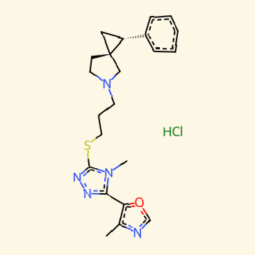 Cc1ncoc1-c1nnc(SCCCN2CC[C@]3(C[C@@H]3c3ccccc3)C2)n1C.Cl